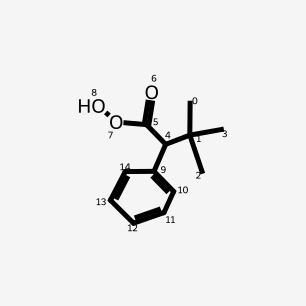 CC(C)(C)C(C(=O)OO)c1ccccc1